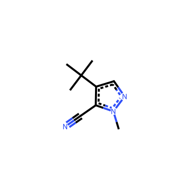 Cn1ncc(C(C)(C)C)c1C#N